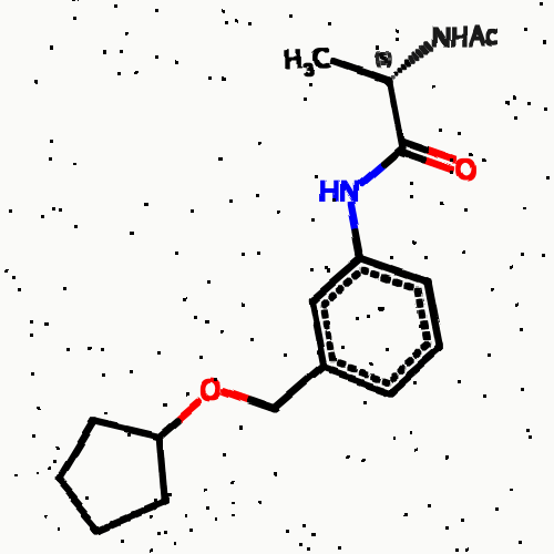 CC(=O)N[C@@H](C)C(=O)Nc1cccc(COC2CCCC2)c1